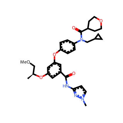 COC[C@H](C)Oc1cc(Oc2ccc(N(CC3CC3)C(=O)C3CCOCC3)cc2)cc(C(=O)Nc2ccn(C)n2)c1